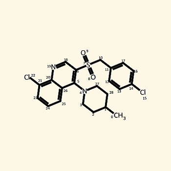 CC1CCN(c2c(S(=O)(=O)Cc3ccc(Cl)cc3)cnc3c(Cl)cccc23)CC1